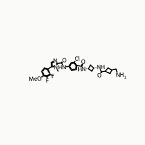 COc1ccc(-c2cnc(C(=O)Nc3ccc(C(=O)N[C@H]4C[C@@H](NC(=O)C5CC(CN)C5)C4)c(Cl)c3)n2C)c(F)c1F